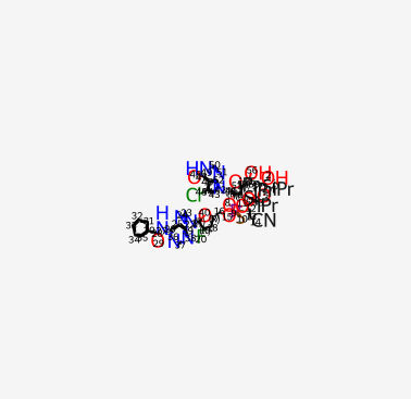 CC(C)[Si](O)(O[Si](O[C@H]1[C@@H](OP(=S)(OCCC#N)OC[C@H]2[CH][C@@H](F)[C@H](n3cnc4c(NC(=O)c5ccccc5)ncnc43)O2)[C@H](n2cc(Cl)c3c(=O)[nH]cnc32)O[C@@H]1CO)(C(C)C)C(C)C)C(C)C